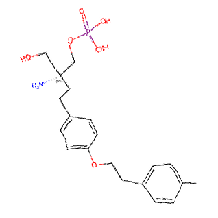 Cc1ccc(CCOc2ccc(CC[C@@](N)(CO)COP(=O)(O)O)cc2)cc1